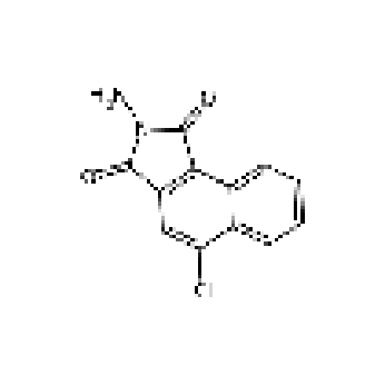 NN1C(=O)c2cc(Cl)c3ccccc3c2C1=O